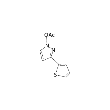 CC(=O)On1ccc(-c2cccs2)n1